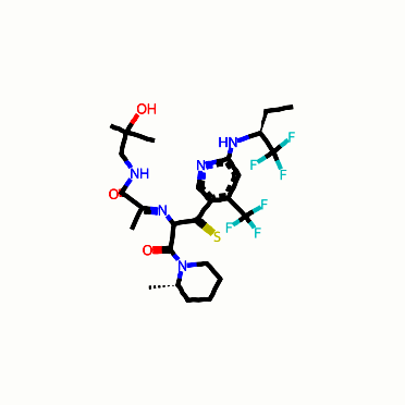 CC[C@H](Nc1cc(C(F)(F)F)c(C(=S)C(/N=C(\C)C(=O)NCC(C)(C)O)C(=O)N2CCCC[C@@H]2C)cn1)C(F)(F)F